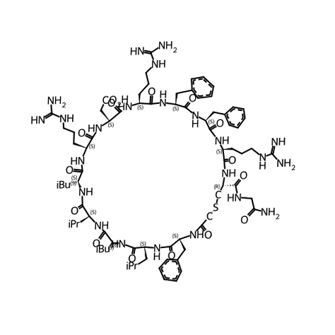 CC[C@H](C)[C@@H]1NC(=O)[C@H](CC(C)C)NC(=O)[C@H](Cc2ccccc2)NC(=O)CSC[C@@H](C(=O)NCC(N)=O)NC(=O)[C@H](CCCNC(=N)N)NC(=O)[C@H](Cc2ccccc2)NC(=O)[C@H](Cc2ccccc2)NC(=O)[C@H](CCCNC(=N)N)NC(=O)[C@H](CC(=O)O)NC(=O)[C@H](CCCNC(=N)N)NC(=O)[C@H]([C@@H](C)CC)NC(=O)[C@H](C(C)C)NC1=O